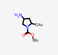 CC(=O)OC1CC(N)CN1C(=O)OC(C)(C)C